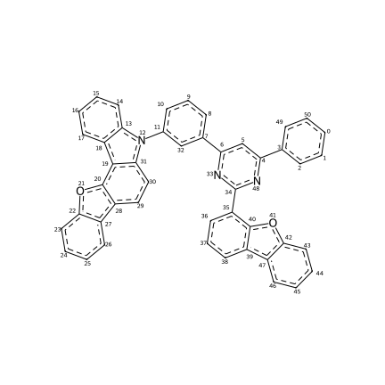 c1ccc(-c2cc(-c3cccc(-n4c5ccccc5c5c6oc7ccccc7c6ccc54)c3)nc(-c3cccc4c3oc3ccccc34)n2)cc1